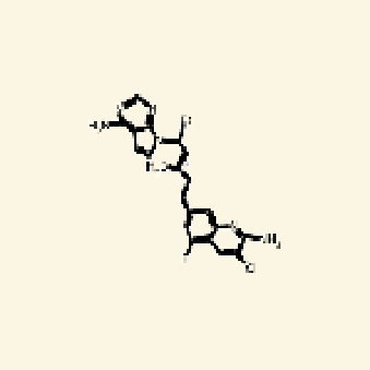 CCC(/C=C(\C)CCc1cc(F)c2cc(Cl)c(N)nc2c1)n1ccc2c(N)ncnc21